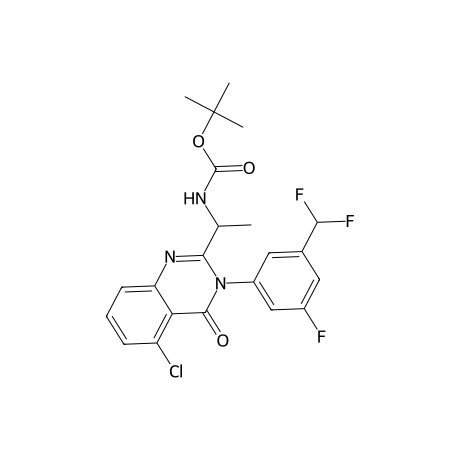 CC(NC(=O)OC(C)(C)C)c1nc2cccc(Cl)c2c(=O)n1-c1cc(F)cc(C(F)F)c1